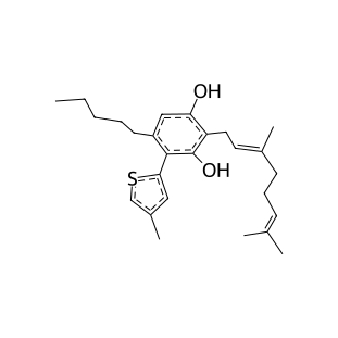 CCCCCc1cc(O)c(C/C=C(\C)CCC=C(C)C)c(O)c1-c1cc(C)cs1